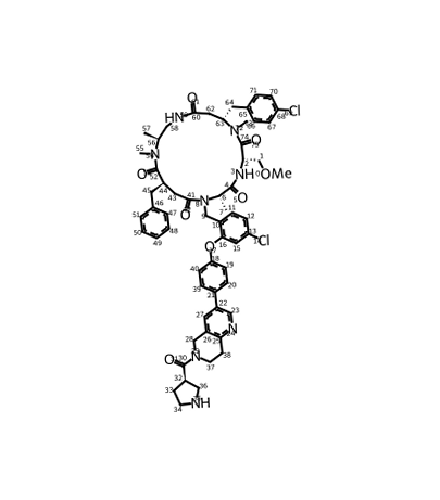 COC[C@@H]1NC(=O)[C@H](C)N(Cc2ccc(Cl)cc2Oc2ccc(-c3cnc4c(c3)CN(C(=O)[C@@H]3CCNC3)CC4)cc2)C(=O)C[C@@H](Cc2ccccc2)C(=O)N(C)[C@@H](C)CNC(=O)C[C@H](Cc2ccc(Cl)cc2)N(C)C1=O